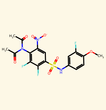 COc1ccc(NS(=O)(=O)c2cc([N+](=O)[O-])c(N(C(C)=O)C(C)=O)c(F)c2F)cc1F